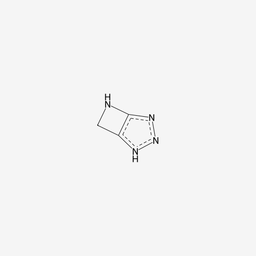 C1Nc2nn[nH]c21